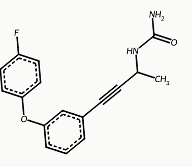 CC(C#Cc1cccc(Oc2ccc(F)cc2)c1)NC(N)=O